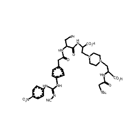 CC(C)CC(NC(=O)Cc1ccc(NC(=NC#N)Nc2ccc([N+](=O)[O-])cc2)cc1)C(=O)NC(CN1CCN(CC(NC(=O)CC(C)(C)C)C(=O)O)CC1)C(=O)O